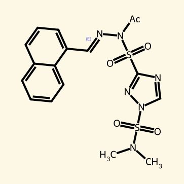 CC(=O)N(/N=C/c1cccc2ccccc12)S(=O)(=O)c1ncn(S(=O)(=O)N(C)C)n1